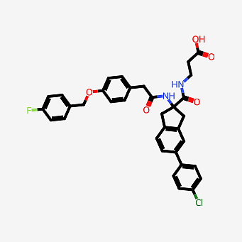 O=C(O)CCNC(=O)C1(NC(=O)Cc2ccc(OCc3ccc(F)cc3)cc2)Cc2ccc(-c3ccc(Cl)cc3)cc2C1